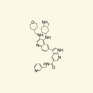 NC1CCC(Nc2c(NCC3CCOCC3)cnc3ccc(-c4c[nH]c5ncc(C(=O)NCc6cccnc6)cc45)cc23)CC1